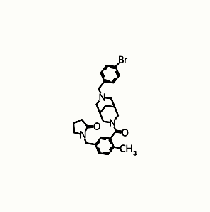 Cc1ccc(CN2CCCC2=O)cc1C(=O)N1CC2CC(CN(Cc3ccc(Br)cc3)C2)C1